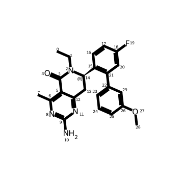 CCN1C(=O)c2c(C)nc(N)nc2C[C@@H]1c1ccc(F)cc1-c1cccc(OC)c1